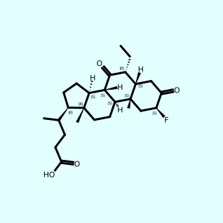 CC[C@H]1C(=O)[C@@H]2[C@H](CC[C@]3(C)[C@@H](C(C)CCC(=O)O)CC[C@@H]23)[C@@]2(C)C[C@H](F)C(=O)C[C@@H]12